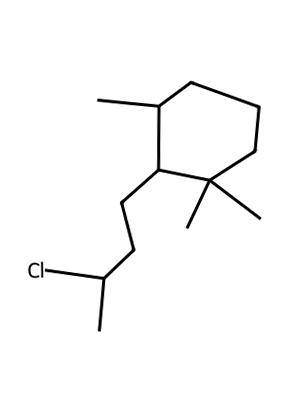 CC(Cl)CCC1C(C)CCCC1(C)C